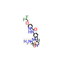 CC1(C)C(N)=N[C@@]2(Cc3ccc(NC(=O)c4ccc(OCC(F)F)cn4)cc32)[C@@H]2CCN=S21=O